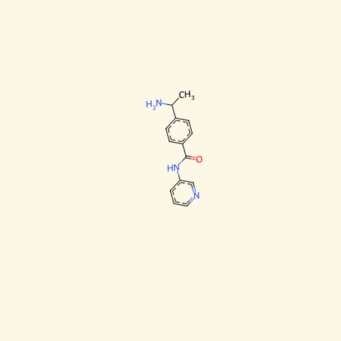 CC(N)c1ccc(C(=O)Nc2cccnc2)cc1